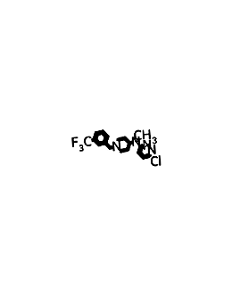 CN(c1ccc(Cl)nn1)C1CCN(Cc2cccc(C(F)(F)F)c2)CC1